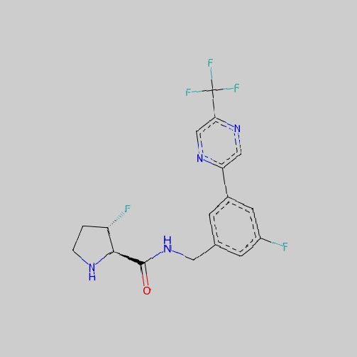 O=C(NCc1cc(F)cc(-c2cnc(C(F)(F)F)cn2)c1)[C@H]1NCC[C@@H]1F